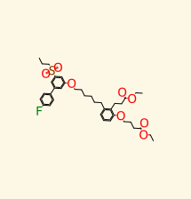 CCCS(=O)(=O)c1cc(OCCCCCCc2cccc(OCCCC(=O)OCC)c2CCC(=O)OCC)cc(-c2ccc(F)cc2)c1